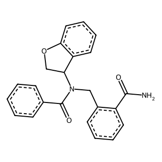 NC(=O)c1ccccc1CN(C(=O)c1ccccc1)C1COc2ccccc21